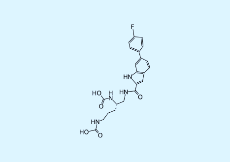 O=C(O)NCCC[C@@H](CNC(=O)c1cc2ccc(-c3ccc(F)cc3)cc2[nH]1)NC(=O)O